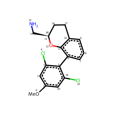 COc1cc(Cl)c(-c2cccc3c2O[C@@H](CN)CC3)c(Cl)c1